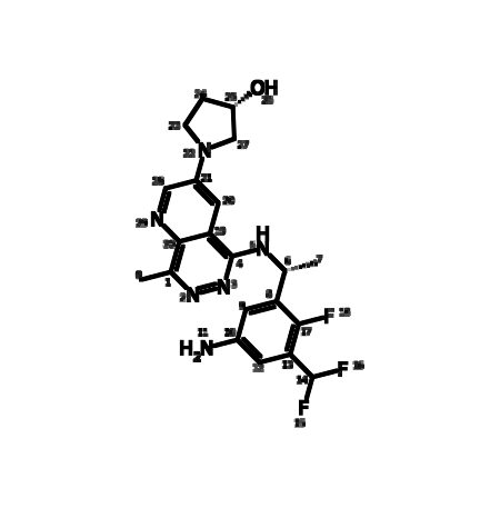 Cc1nnc(N[C@H](C)c2cc(N)cc(C(F)F)c2F)c2cc(N3CC[C@H](O)C3)cnc12